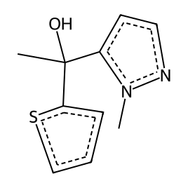 Cn1nccc1C(C)(O)c1cccs1